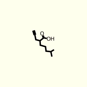 C#CCC(CCCC(C)C)C(=O)O